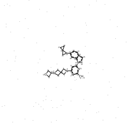 Cc1nc(N2CC3(C2)CN(C2COC2)C3)cc(-n2ncc3ccc(C4CC45CC5)cc32)n1